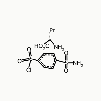 CC(C)[C@H](N)C(=O)O.NS(=O)(=O)c1ccc(S(=O)(=O)Cl)cc1